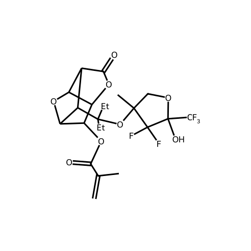 C=C(C)C(=O)OC1C2OC(=O)C3C2OC1C3C(CC)(CC)OC1(C)COC(O)(C(F)(F)F)C1(F)F